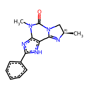 C[C@@H]1CN2C(=O)N(C)c3nc(-c4ccccc4)[nH]c3C2=N1